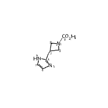 O=C(O)N1CC(c2ncc[nH]2)C1